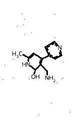 CC1=CC(c2ccncc2)=C(CN)C(O)N1